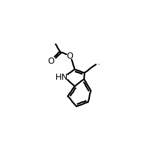 [CH2]c1c(OC(C)=O)[nH]c2ccccc12